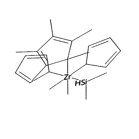 CC1=C(C)[C](C)([Zr]([CH3])([CH3])([CH]2C=CC=C2)([CH]2C=CC=C2)[SiH](C)C)C(C)=C1C